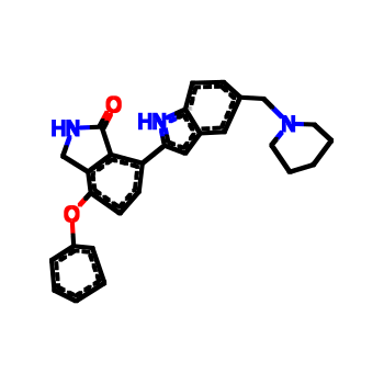 O=C1NCc2c(Oc3ccccc3)ccc(-c3cc4cc(CN5CCCCC5)ccc4[nH]3)c21